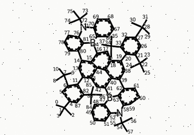 CC(C)(C)c1cc(C(C)(C)C)c(-c2cc3c4c(cc5c(-c6c(C(C)(C)C)cc(C(C)(C)C)cc6C(C)(C)C)cc6c7c(cc2c4c57)B2c4ccccc4N(C(C)(C)C)c4cccc-6c42)B2c4ccccc4N(C(C)(C)C)c4cccc-3c42)c(C(C)(C)C)c1